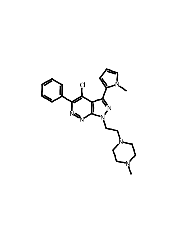 CN1CCN(CCn2nc(-c3cccn3C)c3c(Cl)c(-c4ccccc4)nnc32)CC1